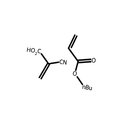 C=C(C#N)C(=O)O.C=CC(=O)OCCCC